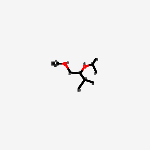 BOCC(OC(C)C)C(C)C